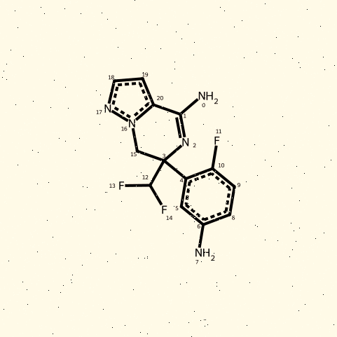 NC1=NC(c2cc(N)ccc2F)(C(F)F)Cn2nccc21